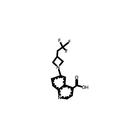 O=C(O)c1ccnc2ccc(N3CC(CC(F)(F)F)C3)cc12